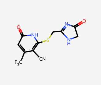 N#Cc1c(C(F)(F)F)cc(=O)[nH]c1SCC1=NC(=O)CN1